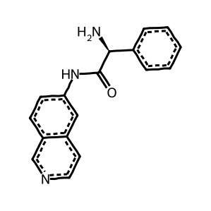 N[C@H](C(=O)Nc1ccc2cnccc2c1)c1ccccc1